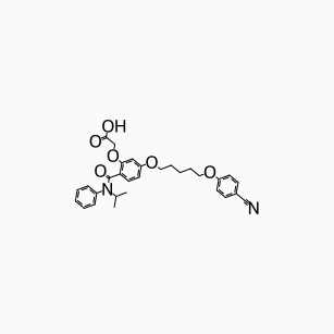 CC(C)N(C(=O)c1ccc(OCCCCCOc2ccc(C#N)cc2)cc1OCC(=O)O)c1ccccc1